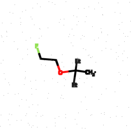 [CH2]C(CC)(CC)OCCF